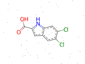 O=C(O)c1cc2cc(Cl)c(Cl)cc2[nH]1